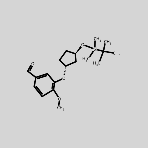 COc1ccc(C=O)cc1O[C@@H]1CC[C@@H](O[Si](C)(C)C(C)(C)C)C1